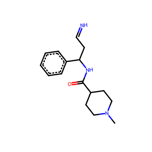 CN1CCC(C(=O)NC(CC=N)c2ccccc2)CC1